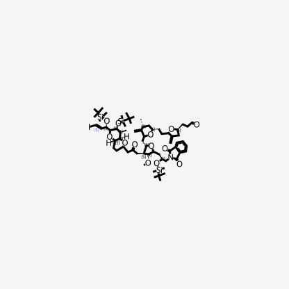 C=C1C[C@H](CCC=O)OC1CC[C@H]1C[C@@H](C)C(=C)C(C[C@@H]2OC(C[C@@H](CN3C(=O)c4ccccc4C3=O)O[Si](C)(C)C(C)(C)C)[C@H](OC)[C@H]2CC(=O)CC2CC[C@@H]3OC([C@H](/C=C/I)O[Si](C)(C)C(C)(C)C)[C@@H](O[Si](C)(C)C(C)(C)C)[C@@H](C)[C@H]3O2)O1